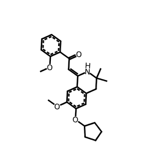 COc1cc2c(cc1OC1CCCC1)CC(C)(C)N/C2=C\C(=O)c1ccccc1OC